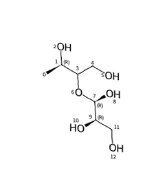 C[C@@H](O)C(CO)O[C@@H](O)[C@H](O)CO